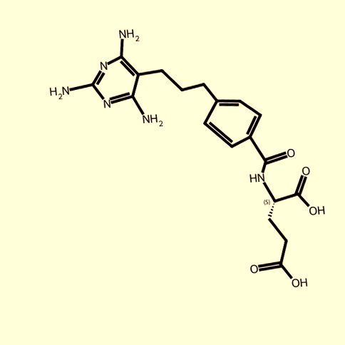 Nc1nc(N)c(CCCc2ccc(C(=O)N[C@@H](CCC(=O)O)C(=O)O)cc2)c(N)n1